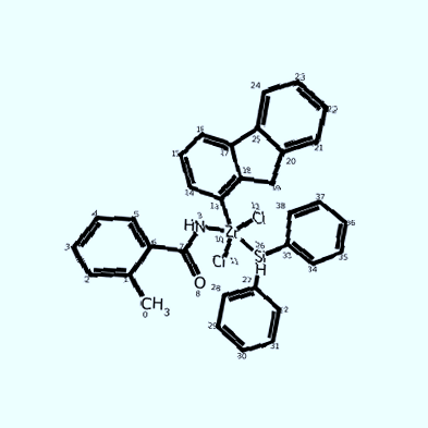 Cc1ccccc1C(=O)[NH][Zr]([Cl])([Cl])([c]1cccc2c1Cc1ccccc1-2)[SiH](c1ccccc1)c1ccccc1